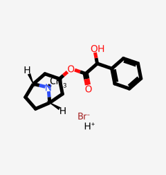 CN1[C@@H]2CC[C@H]1CC(OC(=O)C(O)c1ccccc1)C2.[Br-].[H+]